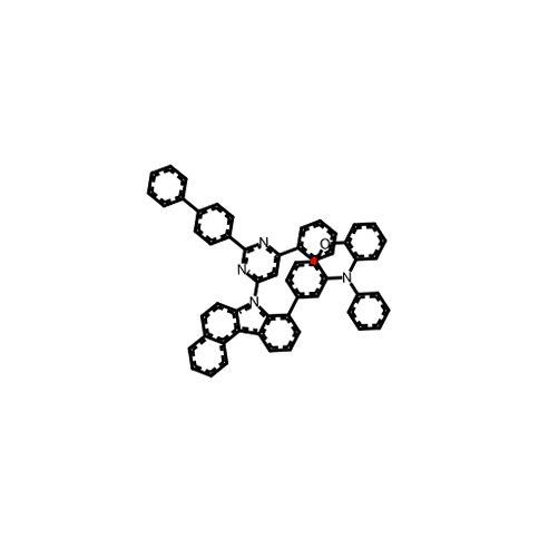 c1ccc(-c2ccc(-c3nc(-c4ccccc4)cc(-n4c5ccc6ccccc6c5c5cccc(-c6ccc7c(c6)N(c6ccccc6)c6ccccc6O7)c54)n3)cc2)cc1